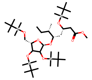 CC[C@H](C)[C@H](C[C@@H](CC(=O)OC)O[Si](C)(C)C(C)(C)C)O[C@@H]1O[C@@H](CO[Si](C)(C)C(C)(C)C)C(O[Si](C)(C)C(C)(C)C)C1O[Si](C)(C)C(C)(C)C